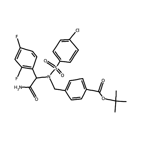 CC(C)(C)OC(=O)c1ccc(CN(C(C(N)=O)c2ccc(F)cc2F)S(=O)(=O)c2ccc(Cl)cc2)cc1